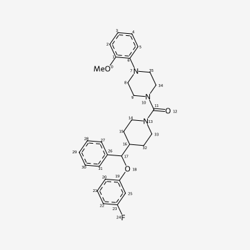 COc1ccccc1N1CCN(C(=O)N2CCC(C(Oc3cccc(F)c3)c3ccccc3)CC2)CC1